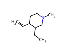 C=CC1CCN(C)CC1CC